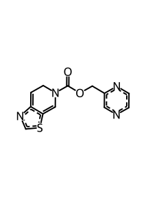 O=C(OCc1cnccn1)N1C=c2scnc2=CC1